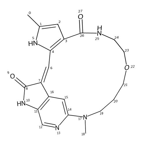 Cc1cc2c([nH]1)/C=C1\C(=O)Nc3cnc(cc31)N(C)CCCOCCNC2=O